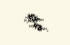 Nc1nc2c(nnn2[C@@H]2O[C@H](CO)[C@@H](F)[C@H]2P(O)(=S)OC[C@H]2O[C@@H](n3nnc4c(N)ncnc43)[C@@H](F)[C@@H]2O)c(=O)[nH]1